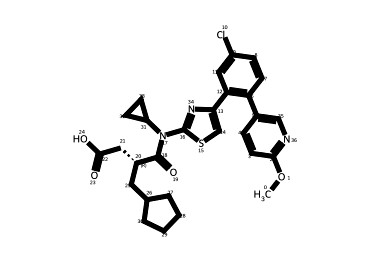 COc1ccc(-c2ccc(Cl)cc2-c2csc(N(C(=O)[C@@H](CC(=O)O)CC3CCCC3)C3CC3)n2)cn1